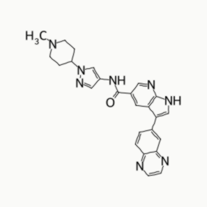 CN1CCC(n2cc(NC(=O)c3cnc4[nH]cc(-c5ccc6nccnc6c5)c4c3)cn2)CC1